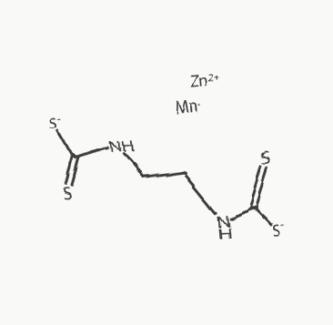 S=C([S-])NCCNC(=S)[S-].[Mn].[Zn+2]